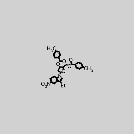 CCc1cn(C2CC(OC(=O)c3ccc(C)cc3)C(COC(=O)c3ccc(C)cc3)O2)c2ccc([N+](=O)[O-])cc12